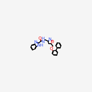 O=C(NCC1=NOC(COc2ccccc2-c2ccccc2)C1)c1nc2ccccc2[nH]1